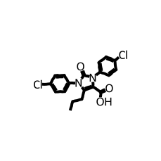 CCCc1c(C(=O)O)n(-c2ccc(Cl)cc2)c(=O)n1-c1ccc(Cl)cc1